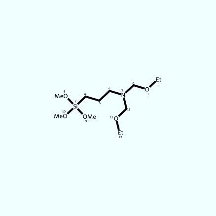 CCOCN(CCC[Si](OC)(OC)OC)COCC